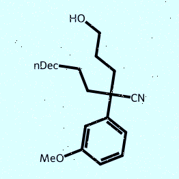 CCCCCCCCCCCCC(C#N)(CCCO)c1cccc(OC)c1